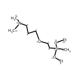 CCO[Si](C)(CCOCCCN(C)C)OCC